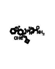 CN(CC1(N(C=O)CC2CCC2)CCC(C2=CCCC=C2)(N(C)C)CC1)c1ncc(C(N)=O)cn1